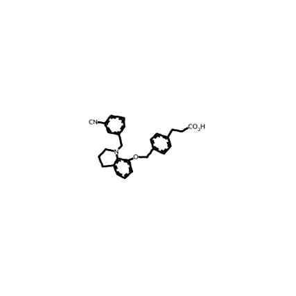 [C-]#[N+]c1cccc(CN2CCCc3cccc(OCc4ccc(CCC(=O)O)cc4)c32)c1